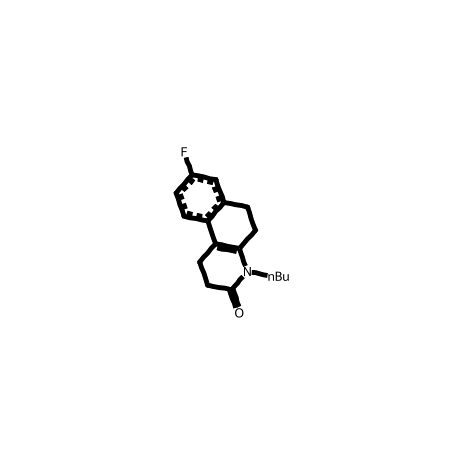 CCCCN1C(=O)CCC2=C1CCc1cc(F)ccc12